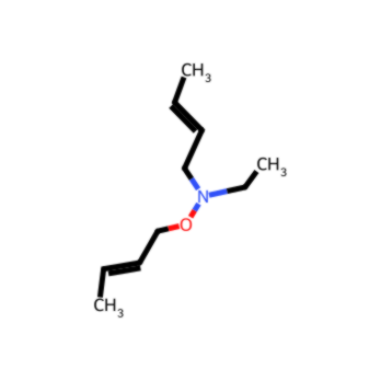 CC=CCON(CC)CC=CC